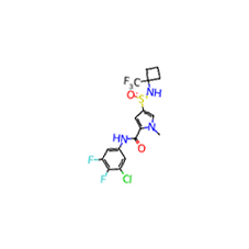 Cn1cc([S+]([O-])NC2(C(F)(F)F)CCC2)cc1C(=O)Nc1cc(F)c(F)c(Cl)c1